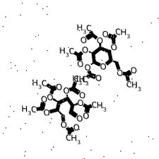 CC(=O)OC[C@@H](OC(C)=O)[C@@H](OC(C)=O)[C@H](OC(C)=O)[C@H](C=O)OC(C)=O.CC(=O)OC[C@H]1O[C@H](OC(C)=O)[C@H](OC(C)=O)[C@@H](OC(C)=O)[C@@H]1OC(C)=O